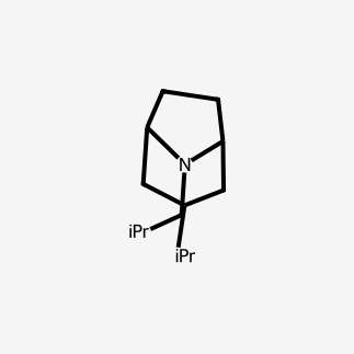 CC(C)CN1C2CCC1CC(C(C)C)C2